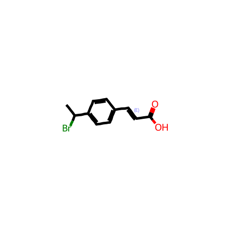 CC(Br)c1ccc(/C=C/C(=O)O)cc1